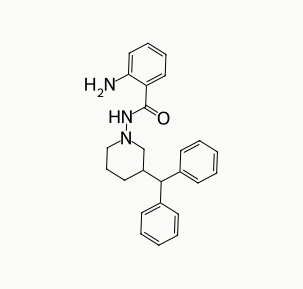 Nc1ccccc1C(=O)NN1CCCC(C(c2ccccc2)c2ccccc2)C1